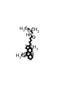 C=C(CNC(=O)CCCCC1CCC2C3C[C@H](CC)C4CCCCC4(C)[C@H]3CCC12C)OCC